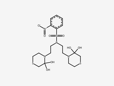 O=[N+]([O-])c1ccccc1S(=O)(=O)N(CCN1CCSCC1(O)O)CCN1CCSCC1(O)O